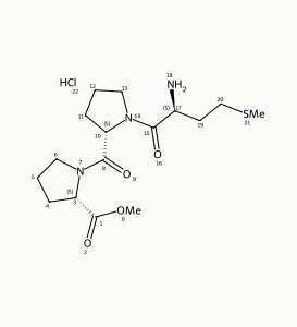 COC(=O)[C@@H]1CCCN1C(=O)[C@@H]1CCCN1C(=O)[C@@H](N)CCSC.Cl